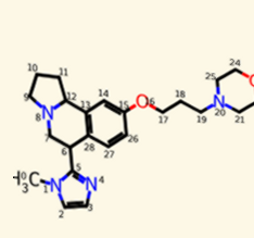 Cn1ccnc1C1CN2CCCC2c2cc(OCCCN3CCOCC3)ccc21